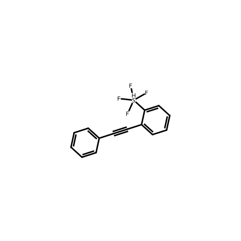 F[SH](F)(F)(F)c1ccccc1C#Cc1ccccc1